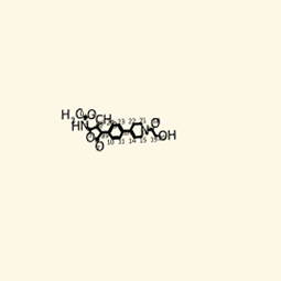 CC(=O)NC1OC(=O)C(c2ccc(C3=CCN(C(=O)CO)CC3)cc2)C1C